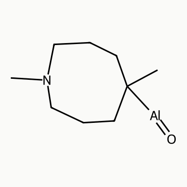 CN1CCC[C](C)([Al]=[O])CCC1